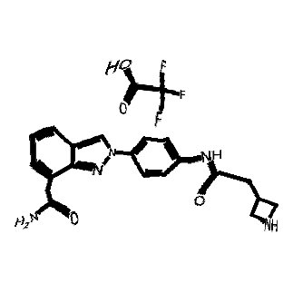 NC(=O)c1cccc2cn(-c3ccc(NC(=O)CC4CNC4)cc3)nc12.O=C(O)C(F)(F)F